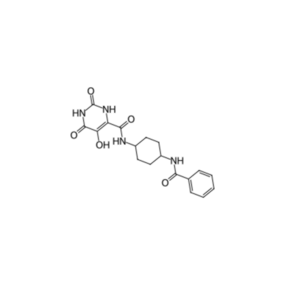 O=C(NC1CCC(NC(=O)c2[nH]c(=O)[nH]c(=O)c2O)CC1)c1ccccc1